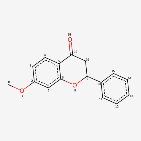 COc1ccc2c(c1)OC(c1ccccc1)CC2=O